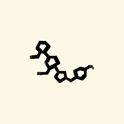 Cc1ccc(O[C@H]2CCN(c3ccc(-c4ccccc4C=O)nc3CO)C2)nc1